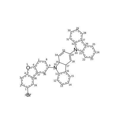 Brc1ccc2oc3ccc(N4c5ccccc5C5C=C(n6c7ccccc7c7ccccc76)C=CC54)cc3c2c1